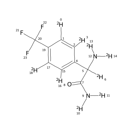 [2H]c1c([2H])c(C([2H])(C(=O)N([2H])[2H])N([2H])[2H])c([2H])c([2H])c1C(F)(F)F